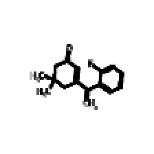 C=C(C1=CC(=O)CC(C)(C)C1)c1ccccc1F